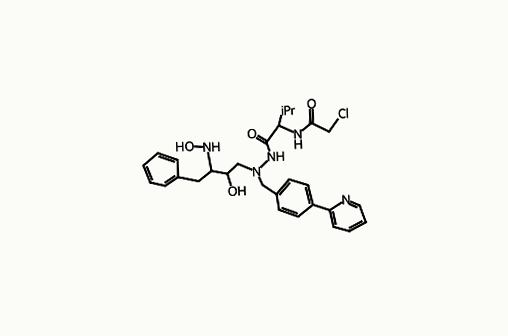 CC(C)C(NC(=O)CCl)C(=O)NN(Cc1ccc(-c2ccccn2)cc1)CC(O)C(Cc1ccccc1)NO